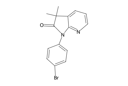 CC1(C)C(=O)N(c2ccc(Br)cc2)c2ncccc21